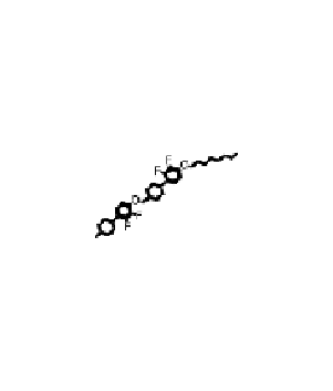 CCCCCCCCOc1ccc(C2CCC(COc3ccc(C4CCC(C)CC4)c(F)c3F)CC2)c(F)c1F